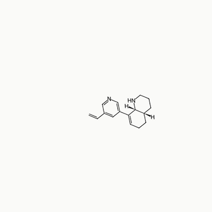 C=Cc1cncc(C2=CCC[C@H]3CCCN[C@@H]23)c1